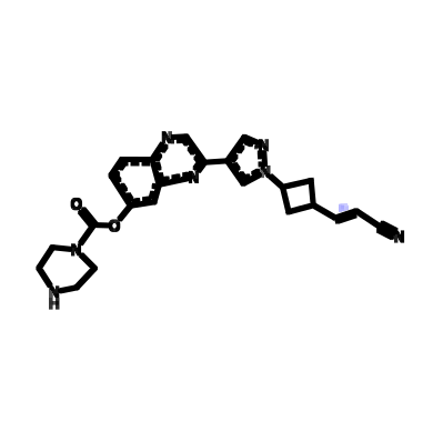 N#C/C=C/C1CC(n2cc(-c3cnc4ccc(OC(=O)N5CCNCC5)cc4n3)cn2)C1